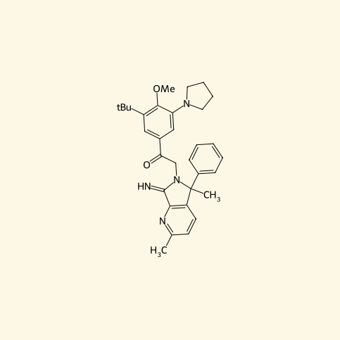 COc1c(N2CCCC2)cc(C(=O)CN2C(=N)c3nc(C)ccc3C2(C)c2ccccc2)cc1C(C)(C)C